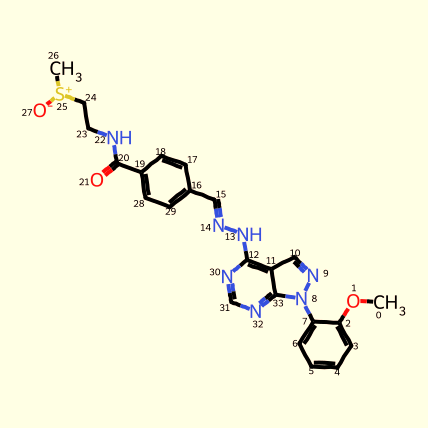 COc1ccccc1-n1ncc2c(N/N=C/c3ccc(C(=O)NCC[S+](C)[O-])cc3)ncnc21